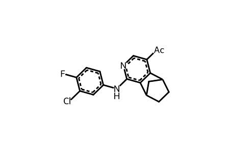 CC(=O)c1cnc(Nc2ccc(F)c(Cl)c2)c2c1C1CCC2C1